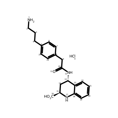 Cl.NCCCc1ccc(CC(=O)N[C@H]2C[C@H](C(=O)O)Nc3ccccc32)cc1